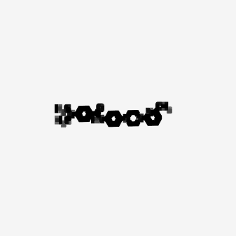 Cc1cccc(N2CCN(c3ccc(NC(=O)c4ccc(N(C)C)cc4)cc3)CC2)n1